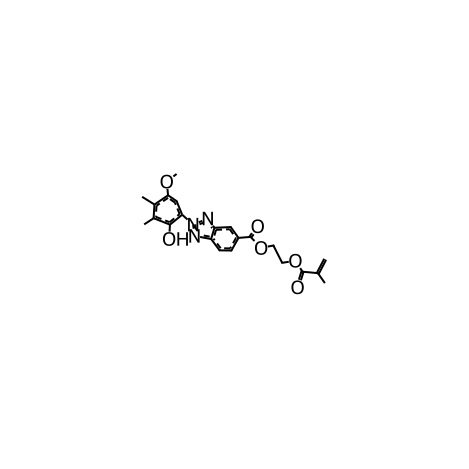 C=C(C)C(=O)OCCOC(=O)c1ccc2nn(-c3cc(OC)c(C)c(C)c3O)nc2c1